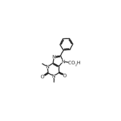 Cn1c(=O)c2c(nc(-c3ccccc3)n2C(=O)O)n(C)c1=O